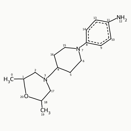 CC1CN(C2CCN(c3ccc(N)cc3)CC2)CC(C)O1